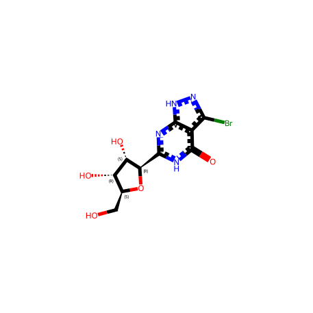 O=c1[nH]c([C@H]2O[C@@H](CO)[C@H](O)[C@@H]2O)nc2[nH]nc(Br)c12